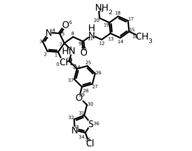 CC1=CC=NC(=O)C1(CC(=O)NCc1cc(C)ccc1CN)NCc1cccc(OCc2cnc(Cl)s2)c1